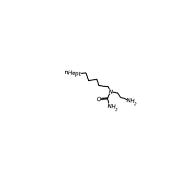 CCCCCCCCCCCCN(CCN)C(N)=O